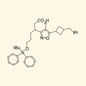 CC(C)CC1CC(c2onc(C(CCCO[Si](c3ccccc3)(c3ccccc3)C(C)(C)C)CC(=O)O)c2I)C1